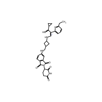 CCc1cccc(/C(=C/NC2CC(CNc3ccc4c(c3)C(=O)N(C3CCC(=O)NC3=O)C4=O)C2)C(=N)C2CC2)n1